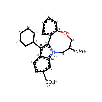 CNC1COc2ccccc2-c2c(C3CCCCC3)c3ccc(C(=O)O)cc3n2C1